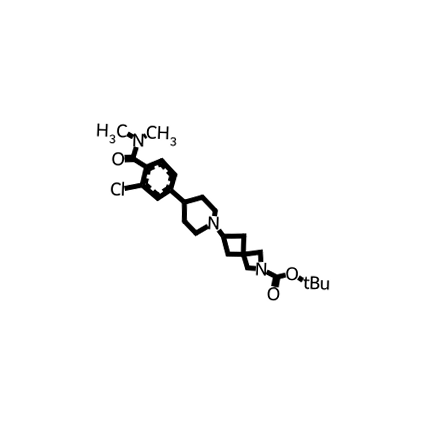 CN(C)C(=O)c1ccc(C2CCN(C3CC4(C3)CN(C(=O)OC(C)(C)C)C4)CC2)cc1Cl